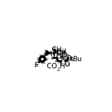 C=C(C)N(CCC[C@@H](C(=O)O)N(C(=O)OC(C)(C)C)C(=O)OC(C)(C)C)[C@@H]1C[C@H]1c1ccc(F)cc1